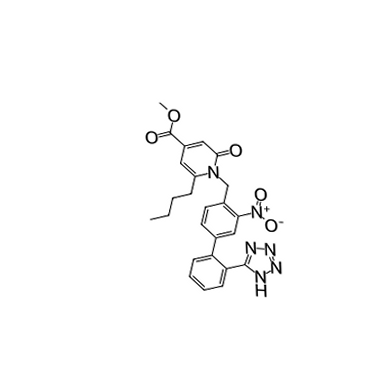 CCCCc1cc(C(=O)OC)cc(=O)n1Cc1ccc(-c2ccccc2-c2nnn[nH]2)cc1[N+](=O)[O-]